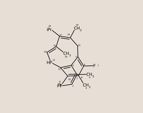 C/C(=C/F)c1c2c(F)c(C)c(C(C)C)c1P/C=C(C)/C(C(C)C)=C(/C)C2